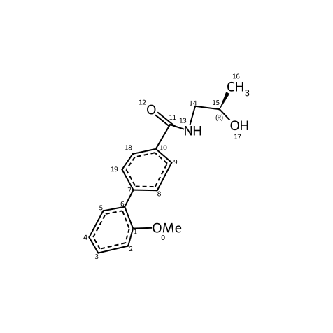 COc1ccccc1-c1ccc(C(=O)NC[C@@H](C)O)cc1